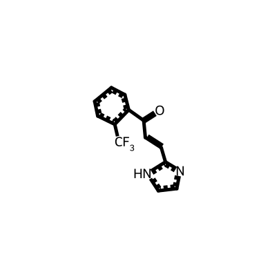 O=C(C=Cc1ncc[nH]1)c1ccccc1C(F)(F)F